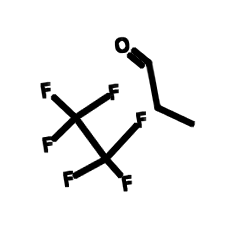 CCC=O.FC(F)(F)C(F)(F)F